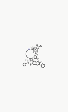 O=C(N[C@H]1CCCCC/C=C\[C@@H]2C[C@@]2(C(=O)NS(=O)(=O)C2CC2)NC(=O)[C@@H]2C[C@@H](Oc3c4ccc(F)cc4nc4c3oc3ccccc34)CN2C1=O)OC1CCCC1